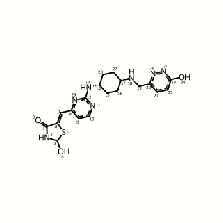 O=C1NC(O)S/C1=C\c1ccnc(N[C@H]2CC[C@H](NCc3ccc(O)nn3)CC2)n1